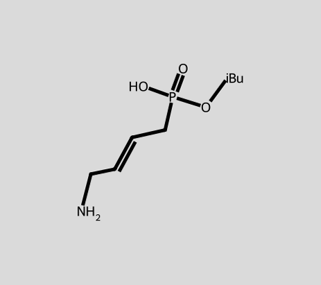 CCC(C)OP(=O)(O)CC=CCN